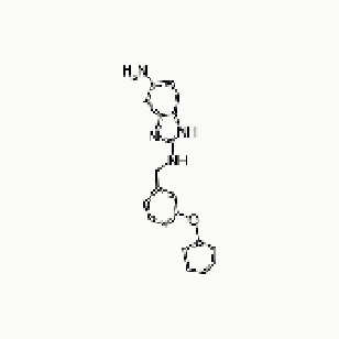 Nc1ccc2[nH]c(NCc3cccc(Oc4ccccc4)c3)nc2c1